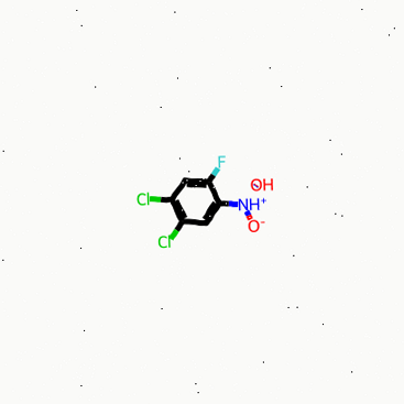 [O-][NH+](O)c1cc(Cl)c(Cl)cc1F